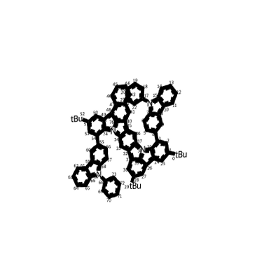 CC(C)(C)c1cc(-c2ccc3c(c2)c2ccccc2n3-c2ccccc2)c2c(c1)c1cc(C(C)(C)C)cc3c4cc5c(cc4n2c31)c1cc2ccccc2c2c3cc(C(C)(C)C)cc(-c4ccc6c(c4)c4ccccc4n6-c4ccccc4)c3n5c12